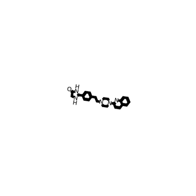 O=C1CNC(c2ccc(CCN3CCN(c4ccc5ccccc5n4)CC3)cc2)N1